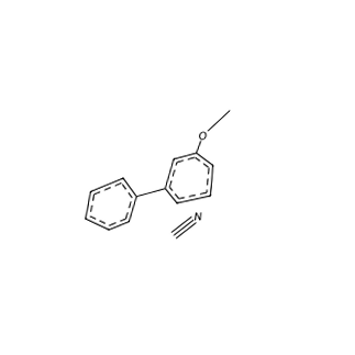 C#N.COc1cccc(-c2ccccc2)c1